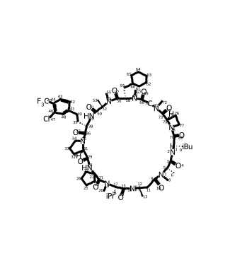 CCC(C)[C@@H]1NC(=O)[C@H](C)N(C)C(=O)C[C@@H](C)NC(=O)[C@H](C(C)C)N(C)C(=O)C2(CCCC2)NC(=O)[C@@H]2CCCN2C(=O)[C@H](CCc2ccc(C(F)(F)F)c(Cl)c2)NC(=O)[C@@H](C)N(C)C(=O)[C@H](CC2CCCCC2)N(C)C(=O)CN(C)C(=O)[C@@H]2CCN2C1=O